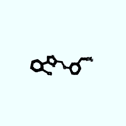 C=Cc1cccc(OCc2nc(-c3ccccc3Cl)cs2)c1